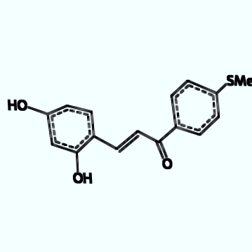 CSc1ccc(C(=O)C=Cc2ccc(O)cc2O)cc1